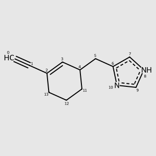 C#CC1=CC(Cc2c[nH]cn2)CCC1